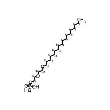 CCCCCCCCCCCCCCCCCCOCCOCCOP(=O)(O)O